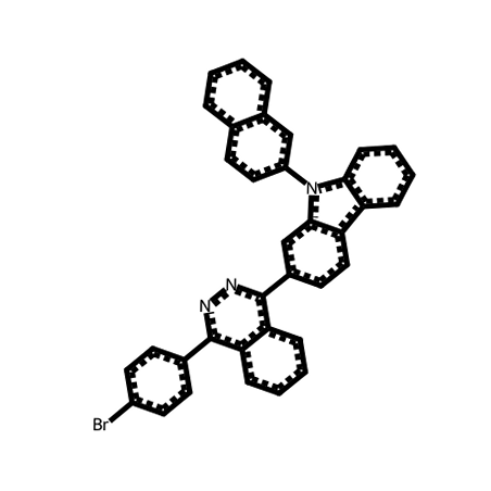 Brc1ccc(-c2nnc(-c3ccc4c5ccccc5n(-c5ccc6ccccc6c5)c4c3)c3ccccc23)cc1